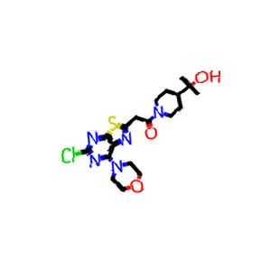 CC(C)(O)C1CCN(C(=O)Cc2nc3c(N4CCOCC4)nc(Cl)nc3s2)CC1